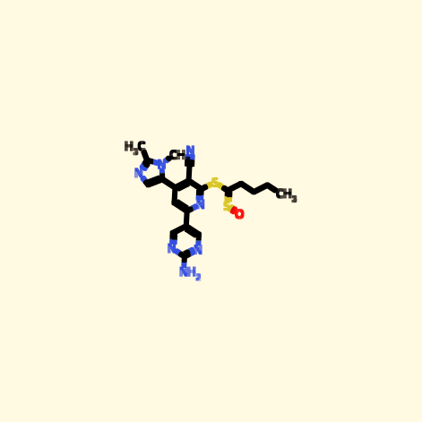 CCCCC(Sc1nc(-c2cnc(N)nc2)cc(-c2cnc(C)n2C)c1C#N)=S=O